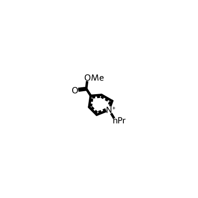 CCC[n+]1ccc(C(=O)OC)cc1